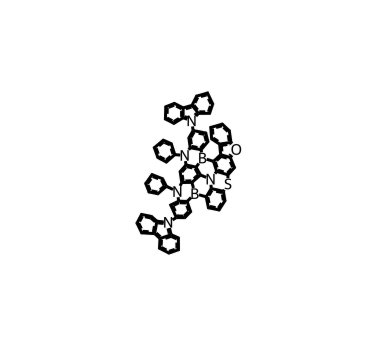 c1ccc(N2c3cc(-n4c5ccccc5c5ccccc54)ccc3B3c4cccc5c4N4c6c3c2cc2c6B(c3ccc(-n6c7ccccc7c7ccccc76)cc3N2c2ccccc2)c2c4c(cc3oc4ccccc4c23)S5)cc1